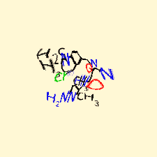 C=Nc1ccc(Cc2nc(C#N)c(C(=O)NCc3c(C)cc(N)nc3C)o2)cc1/C=C(\C)Cl